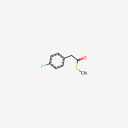 N#CSC(=O)Cc1ccc(F)cc1